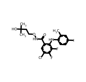 Cc1cc(I)ccc1Nc1c(C(=O)NOCCC(C)(C)O)cc(Cl)c(F)c1F